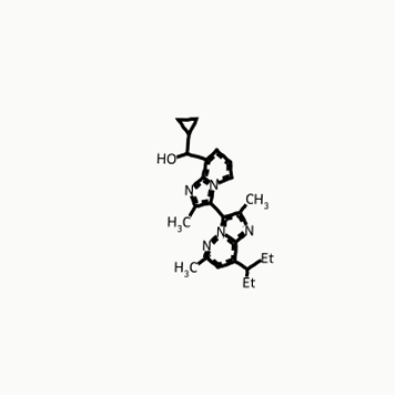 CCC(CC)c1cc(C)nn2c(-c3c(C)nc4c(C(O)C5CC5)cccn34)c(C)nc12